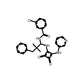 CC(C)(Cc1ccccc1)C(NC(=O)c1cccc(Cl)c1)Nc1c(Nc2cccnc2)c(=O)c1=O